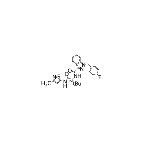 Cc1cc(NC(=O)[C@@H](NC(=O)c2nn(CC3=CCC(F)C=C3)c3ccccc23)C(C)(C)C)sn1